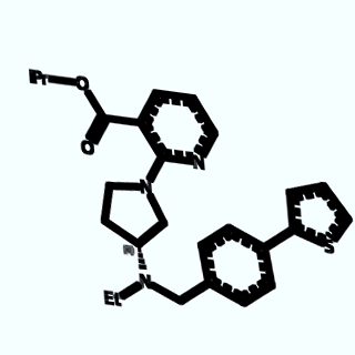 CCN(Cc1ccc(-c2cccs2)cc1)[C@@H]1CCN(c2ncccc2C(=O)OC(C)C)C1